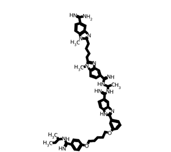 CCC(C)NC(=N)c1ccc(OCCCCCOc2cccc(C3=NC4C=C(C(=N)NC(C)NC(=N)c5ccc6c(c5)nc(CCCCc5nc7cc(C(=N)N)ccc7n5C)n6C)C=CC4N3)c2)cc1